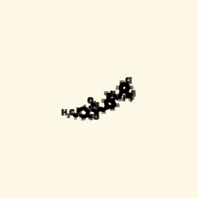 CCN1CCC(N2C(=O)SC(=Cc3ccc4c(cnn4Cc4ccc(Cl)cc4C(F)(F)F)c3)C2=O)C(F)C1